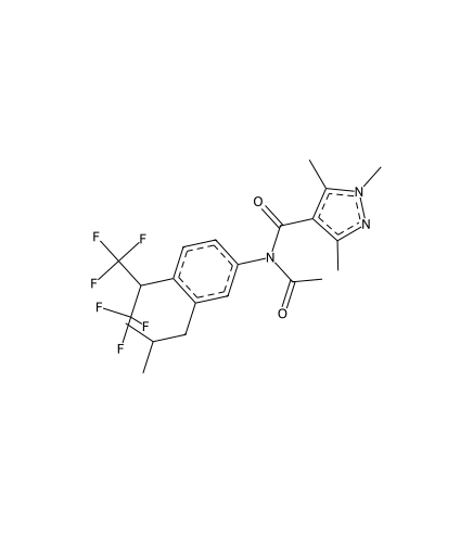 CC(=O)N(C(=O)c1c(C)nn(C)c1C)c1ccc(C(C(F)(F)F)C(F)(F)F)c(CC(C)C)c1